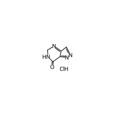 Cl.O=C1NCN=C2C=NN=C12